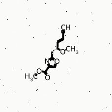 C#C/C=C/[C@@H](Cc1nc(C(=O)OC)co1)OC